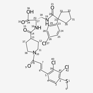 CSc1ccc(C=CC(=O)N2CCC(C(=O)N[C@@H](CNC(=O)C3(c4ccc(Cl)cc4)CCCC3)C(=O)O)CC2)c(Cl)c1Cl